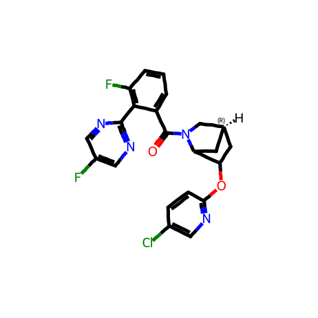 O=C(c1cccc(F)c1-c1ncc(F)cn1)N1C[C@H]2CC(Oc3ccc(Cl)cn3)C1C2